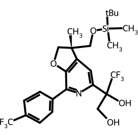 CC(C)(C)[Si](C)(C)OC[C@@]1(C)COc2c1cc(C(O)(CO)C(F)(F)F)nc2-c1ccc(C(F)(F)F)cc1